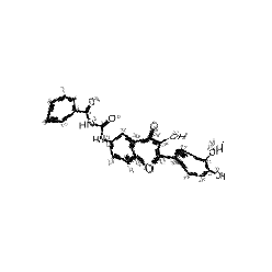 O=C(NC(=O)c1ccccc1)Nc1ccc2oc(-c3ccc(O)c(O)c3)c(O)c(=O)c2c1